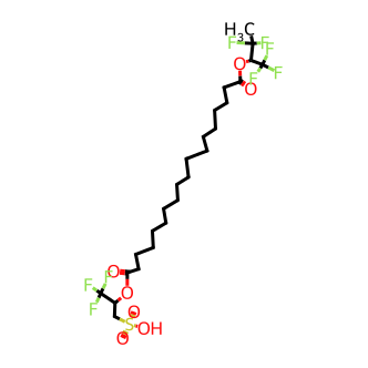 CC(F)(F)C(OC(=O)CCCCCCCCCCCCCCCCC(=O)OC(CS(=O)(=O)O)C(F)(F)F)C(F)(F)F